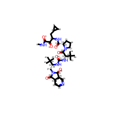 CNC(=O)C(=O)C(CC1CC1)NC(=O)[C@@H]1CCCN1C(=O)[C@@H](NC(=O)N[C@H](CN1C(=O)c2ccncc2C1=O)C(C)(C)C)C(C)(C)C